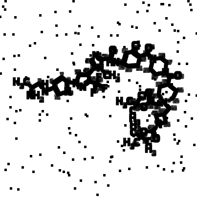 C[C@H](N)CNc1ccc(-n2cc(-c3cnc(C(=O)Nc4ccc(C(=O)N5CCN(C(=O)C6CC[N+](CC(=O)OC(C)(C)C)(CC7CN(C(=O)OC(C)(C)C)C7)CC6)CC5)c(Cl)c4)n3C)c(C(F)(F)F)n2)nc1